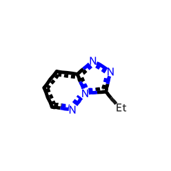 CCc1nnc2cccnn12